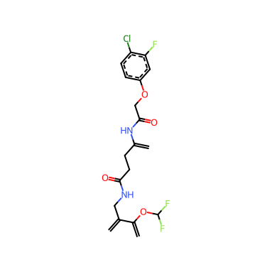 C=C(CCC(=O)NCC(=C)C(=C)OC(F)F)NC(=O)COc1ccc(Cl)c(F)c1